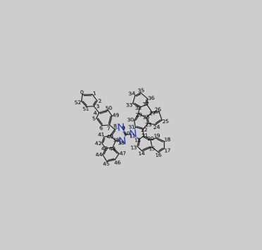 c1ccc(-c2ccc(-c3nc(-n4c5ccc6ccccc6c5c5c6cccc7c6c(cc54)-c4ccccc4-7)nc4c3ccc3ccccc34)cc2)cc1